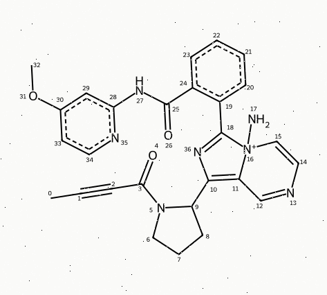 CC#CC(=O)N1CCCC1C1=C2C=NC=C[N+]2(N)C(c2ccccc2C(=O)Nc2cc(OC)ccn2)=N1